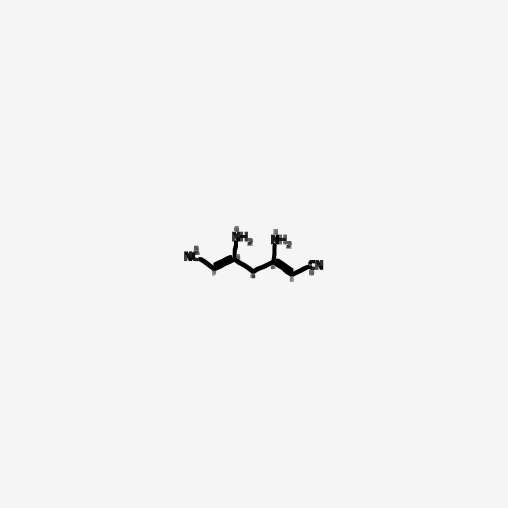 N#CC=C(N)CC(N)=CC#N